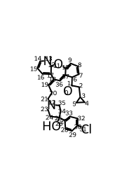 O=C(CC1CC1)C1C=CC=C2Oc3ncccc3C(=CCCN3CCC(O)(c4ccc(Cl)cc4)CC3)C=C21